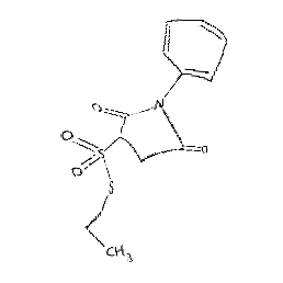 CCSS(=O)(=O)C1CC(=O)N(c2ccccc2)C1=O